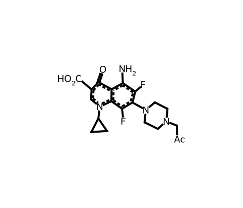 CC(=O)CN1CCN(c2c(F)c(N)c3c(=O)c(C(=O)O)cn(C4CC4)c3c2F)CC1